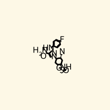 CS(=O)(=O)N[C@@H]1CC[C@H](n2cc(C(N)=O)c(Nc3ccc(F)cc3)n2)[C@@H](C#N)C1